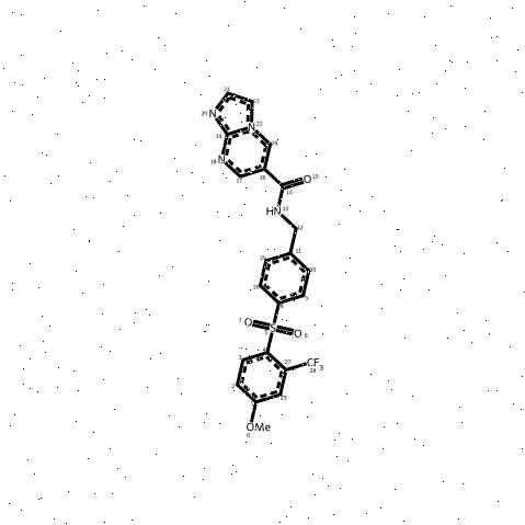 COc1ccc(S(=O)(=O)c2ccc(CNC(=O)c3cnc4nccn4c3)cc2)c(C(F)(F)F)c1